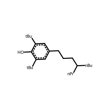 CCCCC(CCC)CCCc1cc(C(C)(C)C)c(O)c(C(C)(C)C)c1